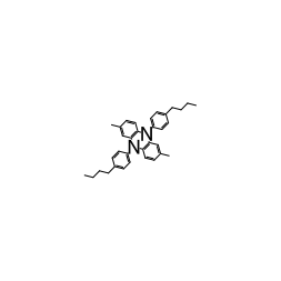 CCCCc1ccc(N2c3ccc(C)cc3N(c3ccc(CCCC)cc3)c3ccc(C)cc32)cc1